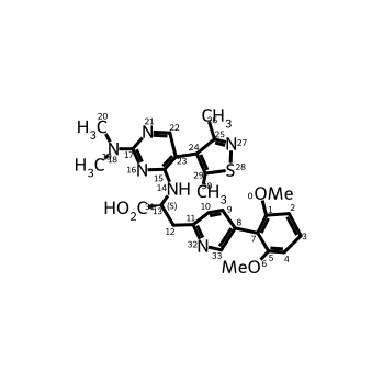 COc1cccc(OC)c1-c1ccc(C[C@H](Nc2nc(N(C)C)ncc2-c2c(C)nsc2C)C(=O)O)nc1